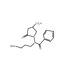 CCCCCCCCCCCCCN(C(=O)c1ccccc1)N1CC(C(=O)O)CC1=O